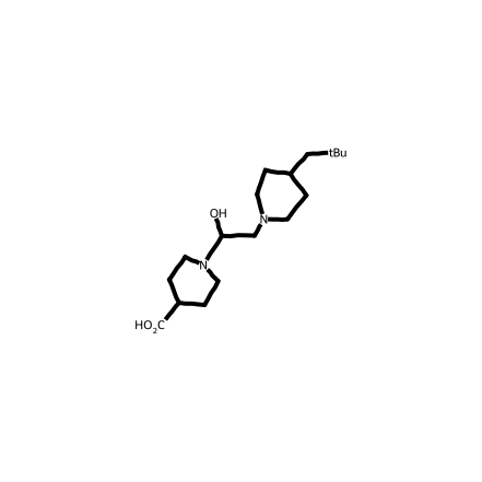 CC(C)(C)CC1CCN(CC(O)N2CCC(C(=O)O)CC2)CC1